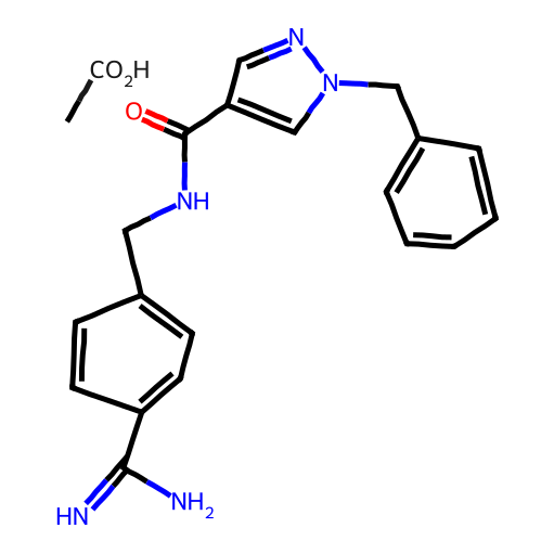 CC(=O)O.N=C(N)c1ccc(CNC(=O)c2cnn(Cc3ccccc3)c2)cc1